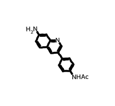 CC(=O)Nc1ccc(-c2cnc3cc(N)ccc3c2)cc1